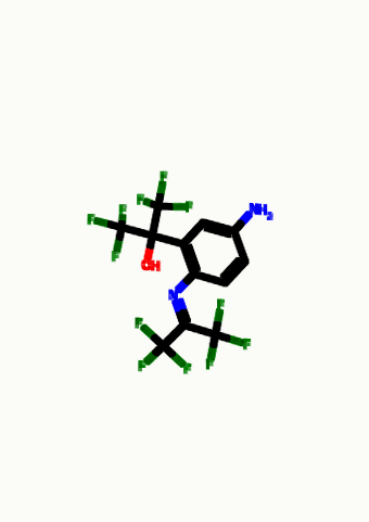 Nc1ccc(N=C(C(F)(F)F)C(F)(F)F)c(C(O)(C(F)(F)F)C(F)(F)F)c1